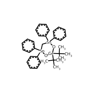 C[C](C)(C)[Ge]1([C](C)(C)C)[O][Sn]([c]2ccccc2)([c]2ccccc2)[CH2][Sn]([c]2ccccc2)([c]2ccccc2)[O]1